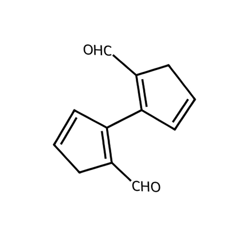 O=CC1=C(C2=C(C=O)CC=C2)C=CC1